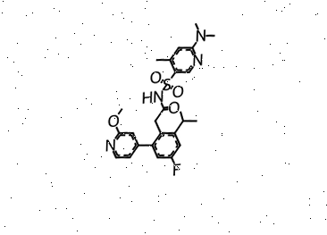 COc1cc(-c2cc(F)cc(C(C)C)c2CC(=O)NS(=O)(=O)c2cnc(N(C)C)cc2C)ccn1